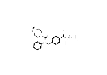 NNC(=O)c1ccc(CN(C(=O)N2CCS(=O)(=O)CC2)c2ccccc2)cc1